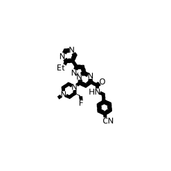 CCc1ncncc1-c1cc2nc(C(=O)NCc3ccc(C#N)cc3)cc(N3CCN(C)C[C@H]3CF)n2n1